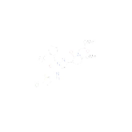 COC(=O)Cn1c(OC)ccc(-c2cc(NCc3ccc(Cl)s3)n(C(=O)c3ccccc3C(F)(F)F)n2)c1=O